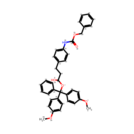 COc1ccc(C(OC(O)CCc2ccc(NC(=O)OCc3ccccc3)cc2)(c2ccccc2)c2ccc(OC)cc2)cc1